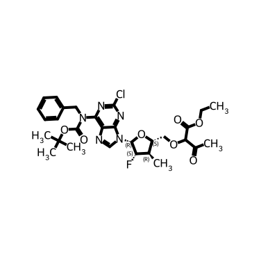 CCOC(=O)C(OC[C@H]1O[C@@H](n2cnc3c(N(Cc4ccccc4)C(=O)OC(C)(C)C)nc(Cl)nc32)[C@@H](F)[C@@H]1C)C(C)=O